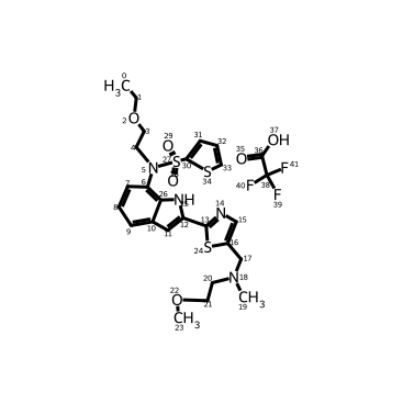 CCOCCN(c1cccc2cc(-c3ncc(CN(C)CCOC)s3)[nH]c12)S(=O)(=O)c1cccs1.O=C(O)C(F)(F)F